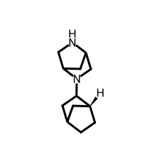 C1C[C@@H]2CC1CC2N1CC2CC1CN2